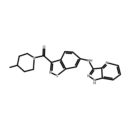 CC1CCN(C(=O)c2nsc3cc(Nc4n[nH]c5cccnc45)ccc23)CC1